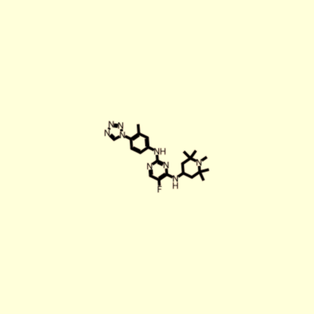 Cc1cc(Nc2ncc(F)c(NC3CC(C)(C)N(C)C(C)(C)C3)n2)ccc1-n1cnnn1